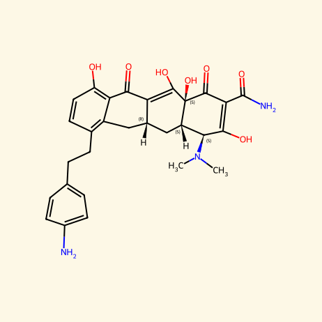 CN(C)[C@@H]1C(O)=C(C(N)=O)C(=O)[C@@]2(O)C(O)=C3C(=O)c4c(O)ccc(CCc5ccc(N)cc5)c4C[C@H]3C[C@@H]12